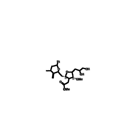 C=C1C(C)CC(CC)OC1C[C@@H]1OC(CC(O)CO)[C@H](OC)C1CC(=O)OC